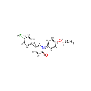 CCOc1ccc(-n2cc(-c3ccc(F)cc3)ccc2=O)cc1